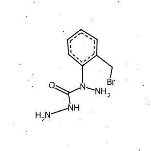 NNC(=O)N(N)c1ccccc1CBr